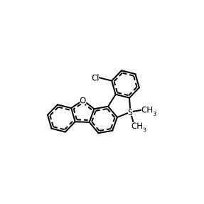 CS1(C)c2cccc(Cl)c2-c2c1ccc1c2oc2ccccc21